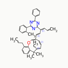 C=C/C=C(\C=C\C1=COc2c(CC=C)cccc2C(C)(C)/C(C)=C/C=C\1)c1nc(-c2ccccc2)nc(-c2ccccc2C)n1